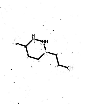 OCCN1CCC(S)NN1